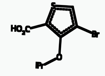 CC(C)Oc1c(Br)csc1C(=O)O